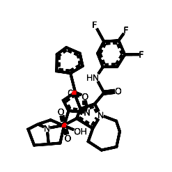 O=C(Nc1cc(F)c(F)c(F)c1)c1c(Cl)c(S(=O)(=O)N2C3CCC2CC(O)(c2cc(-c4ccccc4)on2)C3)c2n1CCCCC2